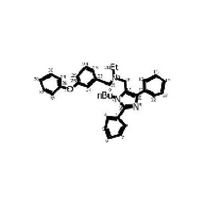 CCCCn1c(-c2ccccc2)nc(-c2ccccc2)c1CN(CC)Cc1cccc(Oc2ccccc2)c1